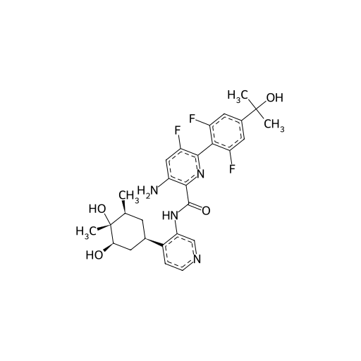 C[C@H]1C[C@@H](c2ccncc2NC(=O)c2nc(-c3c(F)cc(C(C)(C)O)cc3F)c(F)cc2N)C[C@@H](O)[C@]1(C)O